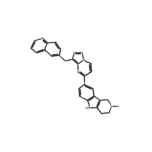 CN1CCc2[nH]c3ccc(-c4ccn5nnc(Cc6ccc7ncccc7c6)c5n4)cc3c2C1